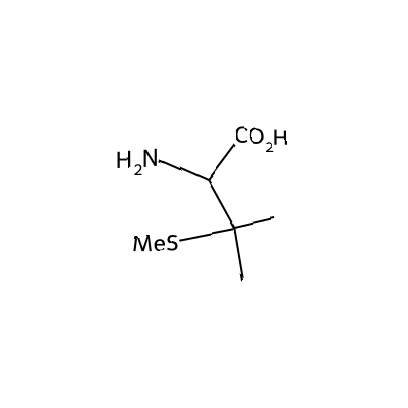 CSC(C)(C)C(N)C(=O)O